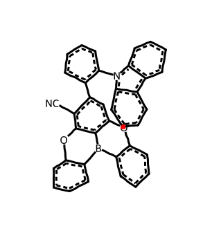 N#Cc1c(-c2ccccc2-n2c3ccccc3c3ccccc32)cc2c3c1Oc1ccccc1B3c1ccccc1O2